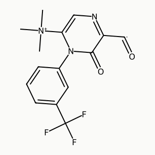 C[N+](C)(C)c1cnc([C]=O)c(=O)n1-c1cccc(C(F)(F)F)c1